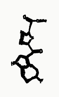 COC(=O)c1nnc(C(=O)c2c[nH]c3ccc(F)cc23)s1